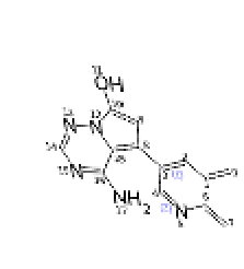 C=C/C=C(\C=N/C=C)c1cc(O)n2ncnc(N)c12